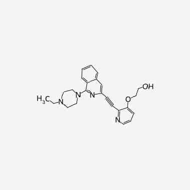 CCN1CCN(c2nc(C#Cc3ncccc3OCCO)cc3ccccc23)CC1